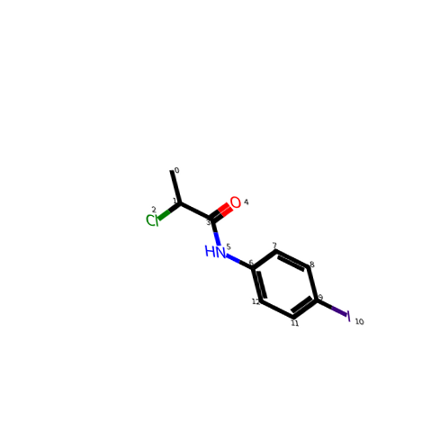 CC(Cl)C(=O)Nc1ccc(I)cc1